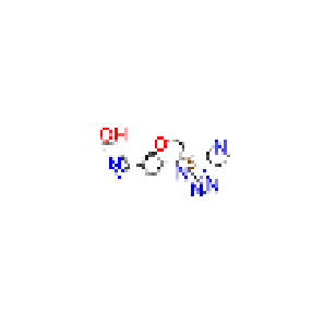 CN1CCC(n2ncnc2-c2nc3c(s2)CCOc2cc(-c4cnn(CC(C)(C)O)c4)ccc2-3)CC1